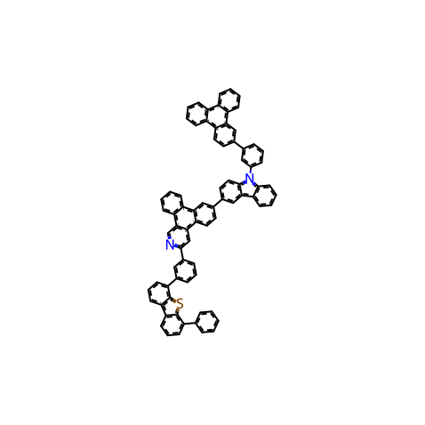 c1ccc(-c2cccc3c2sc2c(-c4cccc(-c5cc6c7ccc(-c8ccc9c(c8)c8ccccc8n9-c8cccc(-c9ccc%10c%11ccccc%11c%11ccccc%11c%10c9)c8)cc7c7ccccc7c6cn5)c4)cccc23)cc1